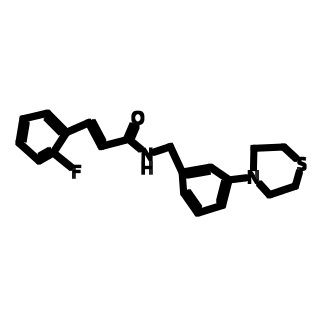 O=C(C=Cc1ccccc1F)NCc1cccc(N2CCSCC2)c1